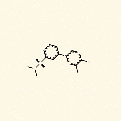 Cc1nc(-c2cccc(S(=O)(=O)N(C)C)c2)cnc1N